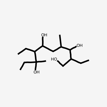 CCC(CO)C(O)C(C)CC(O)C(CC)C(C)(O)CC